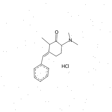 CC1C(=O)C(N(C)C)CCC1=Cc1ccccc1.Cl